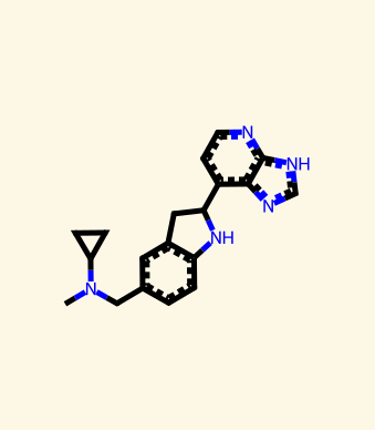 CN(Cc1ccc2c(c1)CC(c1ccnc3[nH]cnc13)N2)C1CC1